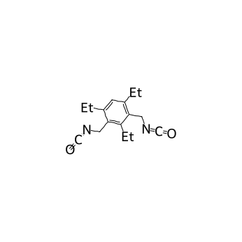 CCc1cc(CC)c(CN=C=O)c(CC)c1CN=C=O